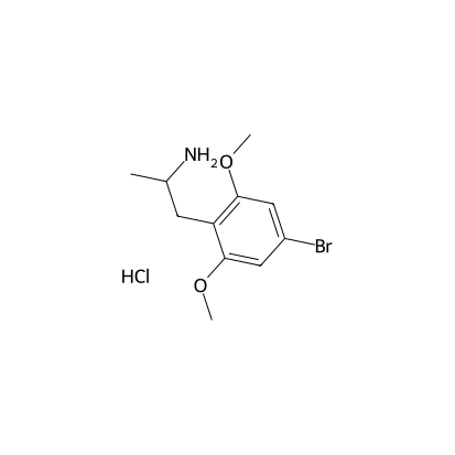 COc1cc(Br)cc(OC)c1CC(C)N.Cl